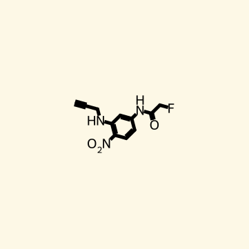 C#CCNc1cc(NC(=O)CF)ccc1[N+](=O)[O-]